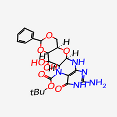 CC(C)(C)OC(=O)N1c2c(nc(N)[nH]c2=O)N[C@@H]2O[C@@H]3COC(c4ccccc4)O[C@@H]3C(O)(O)[C@@H]21